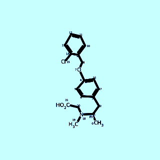 C[C@H](Cc1ccc(OCc2ccccc2Cl)cc1)N(C)CC(=O)O